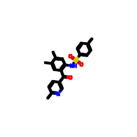 Cc1ccc(S(=O)(=O)Nc2cc(C)c(C)cc2C(=O)c2ccc(C)nc2)cc1